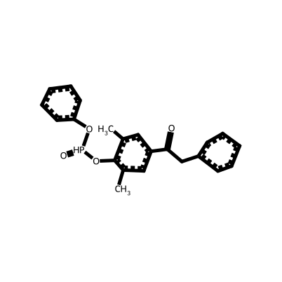 Cc1cc(C(=O)Cc2ccccc2)cc(C)c1O[PH](=O)Oc1ccccc1